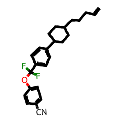 C=CCCCC1CCC(c2ccc(C(F)(F)Oc3ccc(C#N)cc3)cc2)CC1